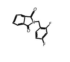 O=C1c2ccccc2C(=O)N1Cc1ccc(F)cc1F